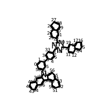 c1cc(-c2ccc(-c3nc(-c4ccc5ccccc5c4)nc(-c4ccc5ccccc5c4)n3)cc2)cc(-n2c3cc4ccccc4cc3c3c4ccccc4ccc32)c1